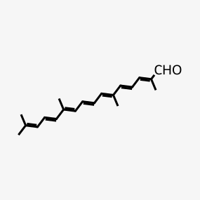 CC(C)=C/C=C/C(C)=C/C=C/C=C(C)/C=C/C=C(\C)C=O